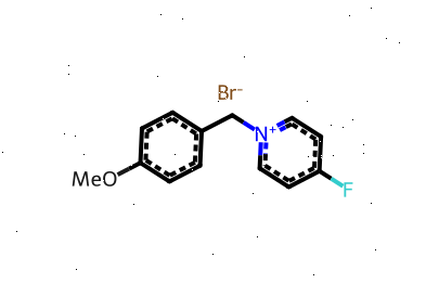 COc1ccc(C[n+]2ccc(F)cc2)cc1.[Br-]